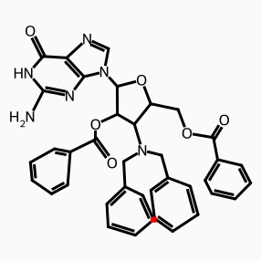 Nc1nc2c(ncn2C2OC(COC(=O)c3ccccc3)C(N(Cc3ccccc3)Cc3ccccc3)C2OC(=O)c2ccccc2)c(=O)[nH]1